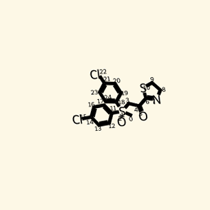 CS(=O)(CC(=O)C1=NCCS1)(c1ccc(Cl)cc1)c1ccc(Cl)cc1